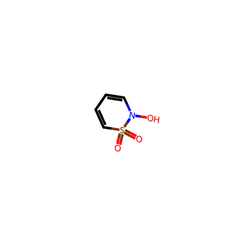 O=S1(=O)C=CC=CN1O